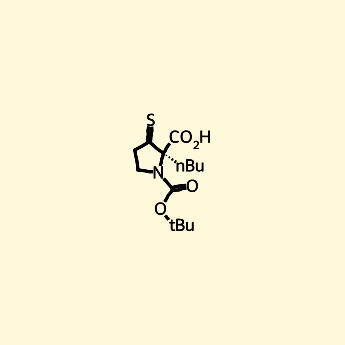 CCCC[C@@]1(C(=O)O)C(=S)CCN1C(=O)OC(C)(C)C